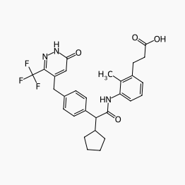 Cc1c(CCC(=O)O)cccc1NC(=O)C(c1ccc(Cc2cc(=O)[nH]nc2C(F)(F)F)cc1)C1CCCC1